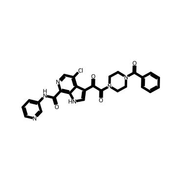 O=C(Nc1cccnc1)c1ncc(Cl)c2c(C(=O)C(=O)N3CCN(C(=O)c4ccccc4)CC3)c[nH]c12